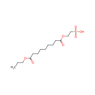 CCCOC(=O)CCCCCCCC(=O)OCCS(=O)(=O)O